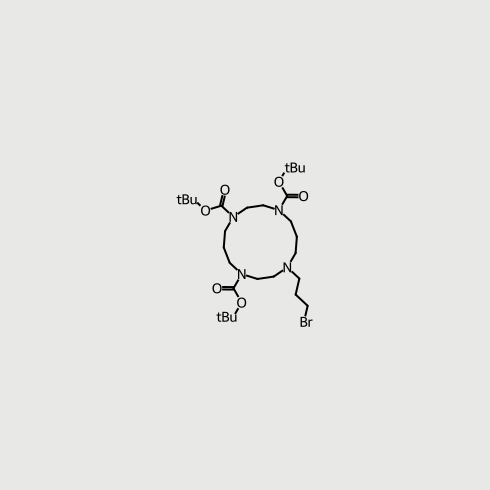 CC(C)(C)OC(=O)N1CCCN(C(=O)OC(C)(C)C)CCN(C(=O)OC(C)(C)C)CCCN(CCCBr)CC1